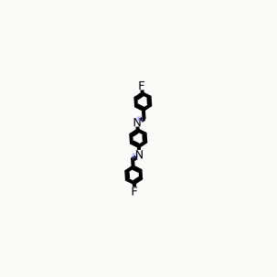 Fc1ccc(/C=N/c2ccc(/N=C/c3ccc(F)cc3)cc2)cc1